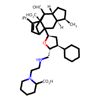 CC(C)C1=CC2CC3(C=O)[C@@H]4CC[C@@H](C)[C@H]4CC2([C@H]2C[C@@H](C4CCCCC4)[C@H](CNCCN4CCCCC4C(=O)O)O2)[C@]13C(=O)O